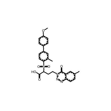 COc1ccc(-c2ccc(S(=O)(=O)C(CCn3nnc4ccc(C)cc4c3=O)C(=O)O)c(C)c2)cc1